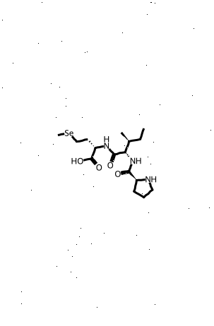 CC[C@H](C)[C@H](NC(=O)[C@@H]1CCCN1)C(=O)N[C@@H](CC[Se]C)C(=O)O